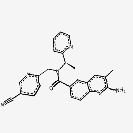 Cc1cc2cc(C(=O)N(Cc3ccc(C#N)cn3)[C@H](C)c3ccccn3)ccc2nc1N